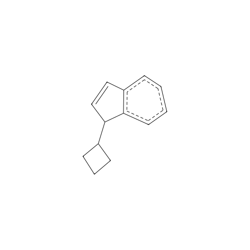 C1=CC(C2CCC2)c2ccccc21